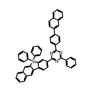 c1ccc(-c2nc(-c3ccc(-c4ccc5ccccc5c4)cc3)nc(-c3ccc4c(c3)[Si](c3ccccc3)(c3ccccc3)c3cc5ccccc5cc3-4)n2)cc1